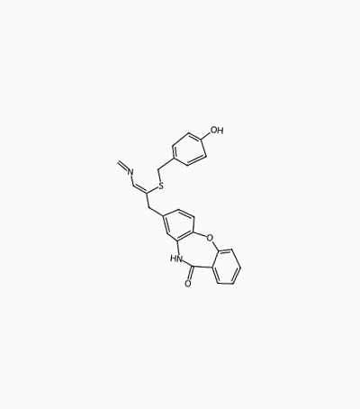 C=N/C=C(/Cc1ccc2c(c1)NC(=O)c1ccccc1O2)SCc1ccc(O)cc1